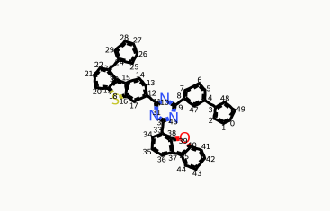 c1ccc(-c2cccc(-c3nc(-c4ccc5c(c4)sc4cccc(-c6ccccc6)c45)nc(-c4cccc5c4oc4ccccc45)n3)c2)cc1